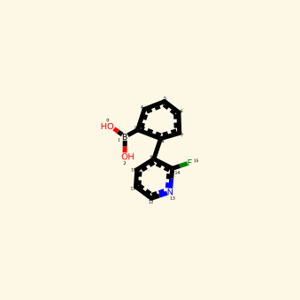 OB(O)c1ccccc1-c1cccnc1F